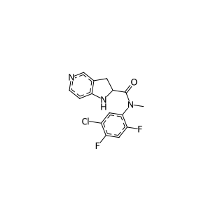 CN(C(=O)C1Cc2cnccc2N1)c1cc(Cl)c(F)cc1F